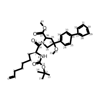 C=CCCCCC[C@H](NC(=O)OC(C)(C)C)C(=O)N1CC(OC)(c2ccc(-c3ccccc3)cc2)CC1C(=O)OC